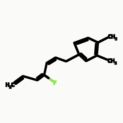 C=C/C=C(F)\C=C/Cc1ccc(C)c(C)c1